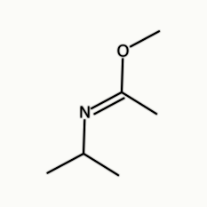 CO/C(C)=N/C(C)C